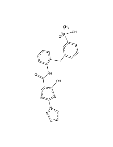 C[P@](=O)(O)c1cccc(Cc2ccccc2NC(=O)c2cnc(-n3cccn3)nc2O)c1